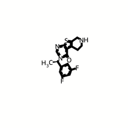 C[C@H](c1cc(F)cc(F)c1)n1cnc2sc3c(c2c1=O)CCNC3